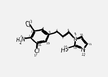 Nc1c(Cl)cc(CCCn2ccnc2S)cc1Cl